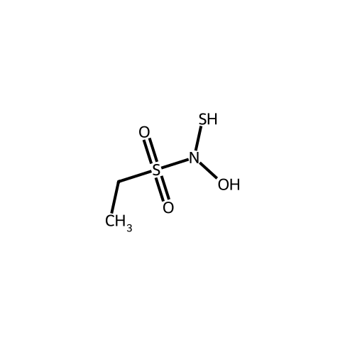 CCS(=O)(=O)N(O)S